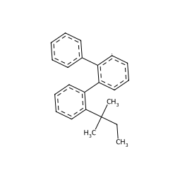 CCC(C)(C)c1ccccc1-c1ccc[c]c1-c1ccccc1